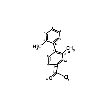 Cc1ccccc1-c1ccc(C(=O)Cl)cc1C